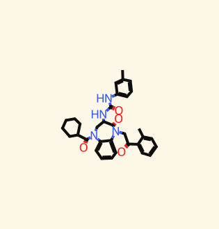 Cc1cccc(NC(=O)NC2CN(C(=O)C3CCCCC3)c3ccccc3N(CC(=O)c3ccccc3C)C2=O)c1